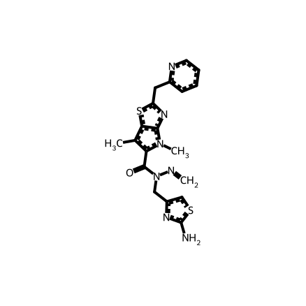 C=NN(Cc1csc(N)n1)C(=O)c1c(C)c2sc(Cc3ccccn3)nc2n1C